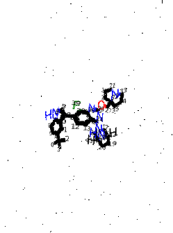 CC(C)(C)c1ccc2[nH]cc(-c3ccc4c(N5C[C@H]6CC[C@@H](C5)N6)nc(OCC56CCCN5CCC6)nc4c3F)c2c1